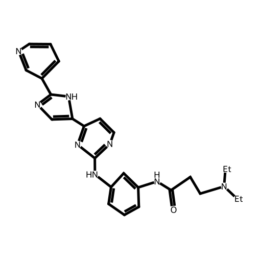 CCN(CC)CCC(=O)Nc1cccc(Nc2nccc(-c3cnc(-c4cccnc4)[nH]3)n2)c1